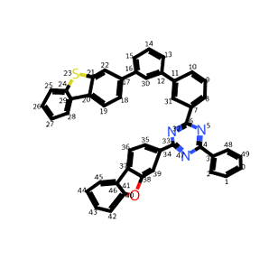 c1ccc(-c2nc(-c3cccc(-c4cccc(-c5ccc6c(c5)sc5ccccc56)c4)c3)nc(-c3ccc4c(c3)oc3ccccc34)n2)cc1